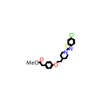 COC(=O)Cc1ccc(OCCC2CCN(c3nc4ccc(Cl)cc4s3)CC2)cc1